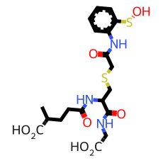 CC(CCC(=O)NC(CSCC(=O)Nc1ccccc1SO)C(=O)NCC(=O)O)C(=O)O